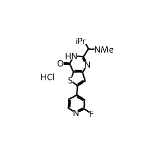 CNC(c1nc2cc(-c3ccnc(F)c3)sc2c(=O)[nH]1)C(C)C.Cl